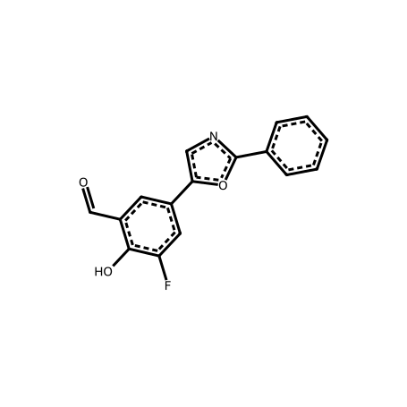 O=Cc1cc(-c2cnc(-c3ccccc3)o2)cc(F)c1O